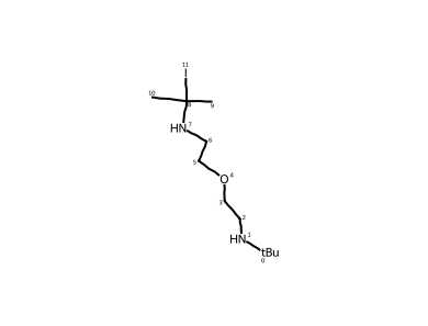 CC(C)(C)NCCOCCNC(C)(C)I